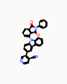 N#Cc1ccncc1-c1ccc2c(c1)c1ccccc1n2-c1cccc2c1C(=O)N(c1ccccc1)C2=O